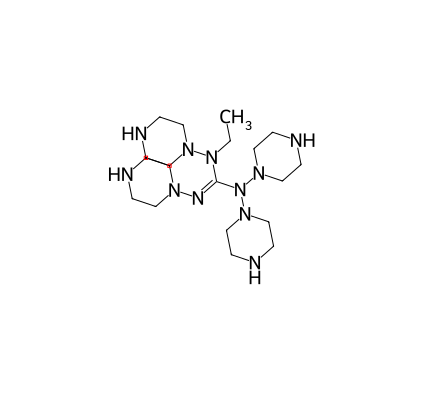 CCN(C(=NN1CCNCC1)N(N1CCNCC1)N1CCNCC1)N1CCNCC1